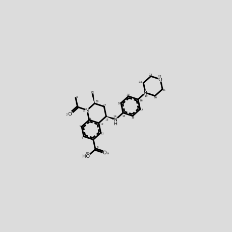 CC(=O)N1c2ccc(C(=O)O)cc2[C@H](Nc2ccc(N3CCOCC3)cc2)C[C@@H]1C